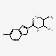 CC(C)C(C)NC(=O)c1cc2cc(F)ccc2o1